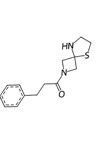 O=C(CCc1ccccc1)N1CC2(C1)NCCS2